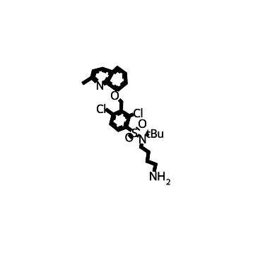 Cc1ccc2cccc(OCc3c(Cl)ccc(S(=O)(=O)N(CCCCN)C(C)(C)C)c3Cl)c2n1